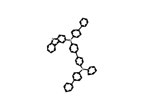 c1ccc(-c2ccc(N(c3ccccc3)c3ccc(-c4ccc(N(c5ccc(-c6ccccc6)cc5)c5ccc6sc7ccccc7c6c5)cc4)cc3)cc2)cc1